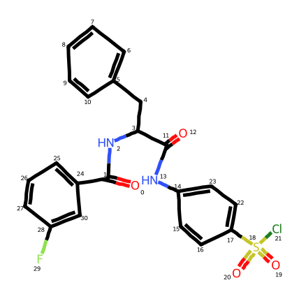 O=C(NC(Cc1ccccc1)C(=O)Nc1ccc(S(=O)(=O)Cl)cc1)c1cccc(F)c1